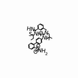 CCC(=S)NC(=N)c1cccc(CN(CC(C)C)C(=O)Nc2ccc(-c3ccccc3S(N)(=O)=O)cc2)c1